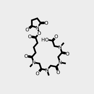 CN(CC(=O)O)C(=O)CN(C)C(=O)CN(C)C(=O)CN(C)C(=O)CCCC(=O)ON1C(=O)CCC1=O